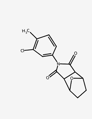 Cc1ccc(N2C(=O)C3C4CCC(O4)C3C2=O)cc1Cl